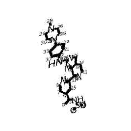 C=C(N[SH](=O)=O)c1ccnc(-c2nccc3cnc(Nc4ccc(N5CCN(C)CC5)cc4)nc23)c1